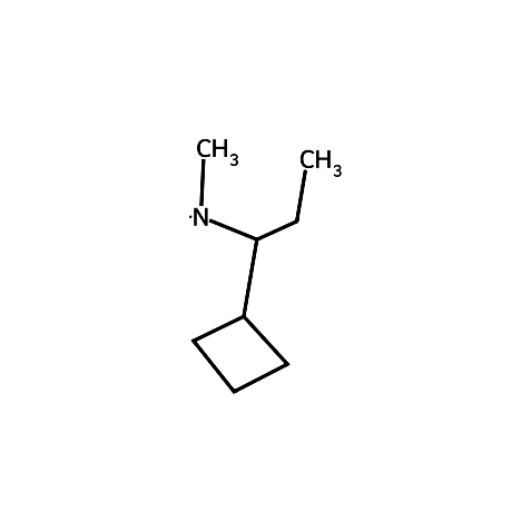 CCC([N]C)C1CCC1